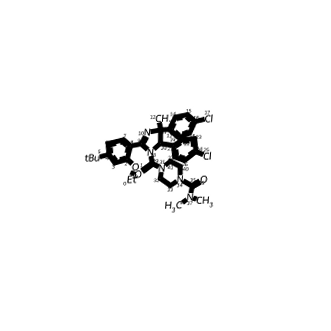 CCOc1cc(C(C)(C)C)ccc1C1=NC(C)(c2ccc(Cl)cc2)C(c2ccc(Cl)cc2)N1C(=O)N1CCN(C(=O)N(C)C)CC1